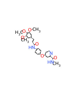 CNC(=O)c1cc(Oc2ccc(NC(=O)C=Cc3cc(OC)c(OC)c(OC)c3)cc2)ccn1